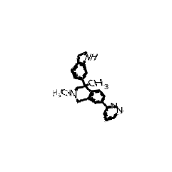 CN1Cc2cc(-c3cccnn3)ccc2C(C)(c2ccc3cc[nH]c3c2)C1